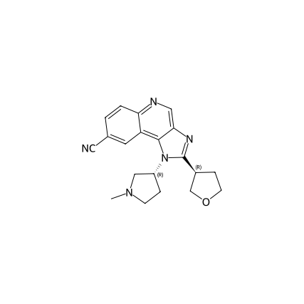 CN1CC[C@@H](n2c([C@H]3CCOC3)nc3cnc4ccc(C#N)cc4c32)C1